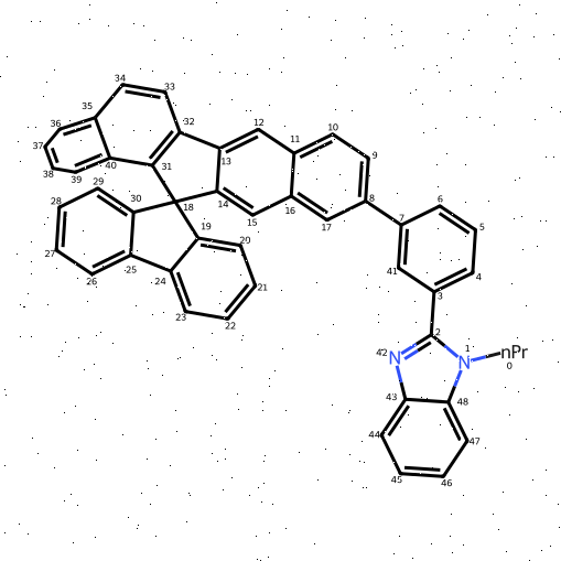 CCCn1c(-c2cccc(-c3ccc4cc5c(cc4c3)C3(c4ccccc4-c4ccccc43)c3c-5ccc4ccccc34)c2)nc2ccccc21